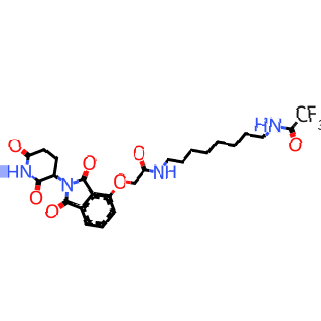 O=C(COc1cccc2c1C(=O)N(C1CCC(=O)NC1=O)C2=O)NCCCCCCCCNC(=O)C(F)(F)F